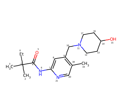 CCC(C)(C)C(=O)Nc1cc(CN2CCC(O)CC2)c(C)cn1